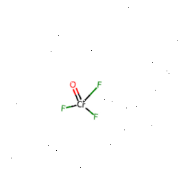 [O]=[Cr]([F])([F])[F]